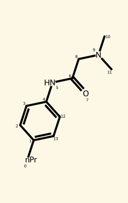 CCCc1ccc(NC(=O)CN(C)C)cc1